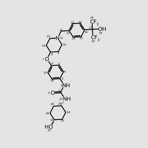 O=C(Nc1ccc(OC2CCN(Cc3ccc(C(O)(C(F)(F)F)C(F)(F)F)cc3)CC2)cc1)N[C@H]1CC[C@H](O)CC1